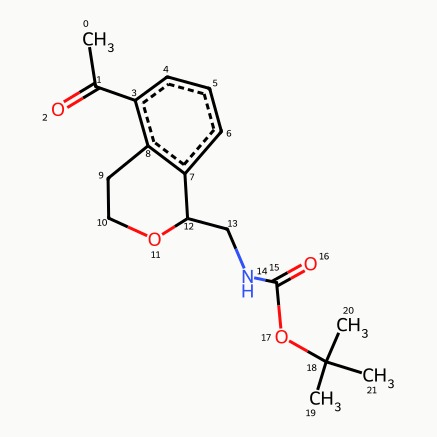 CC(=O)c1cccc2c1CCOC2CNC(=O)OC(C)(C)C